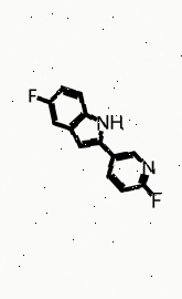 Fc1ccc2[nH]c(-c3ccc(F)nc3)cc2c1